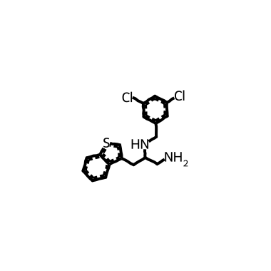 NCC(Cc1csc2ccccc12)NCc1cc(Cl)cc(Cl)c1